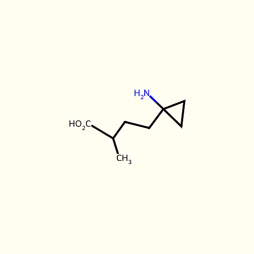 CC(CCC1(N)CC1)C(=O)O